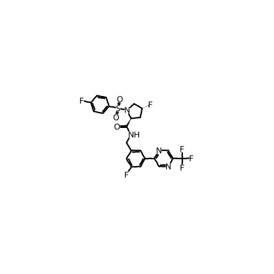 O=C(NCc1cc(F)cc(-c2cnc(C(F)(F)F)cn2)c1)[C@@H]1C[C@@H](F)CN1S(=O)(=O)c1ccc(F)cc1